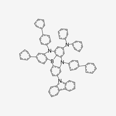 c1ccc(-c2ccc(N3c4cc(-c5ccccc5)ccc4B4c5ccc(-n6c7ccccc7c7ccccc76)cc5N(c5ccc(-c6ccccc6)cc5)c5cc(N(c6ccccc6)c6ccccc6)cc3c54)cc2)cc1